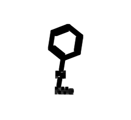 C[NH][Pd][c]1ccccc1